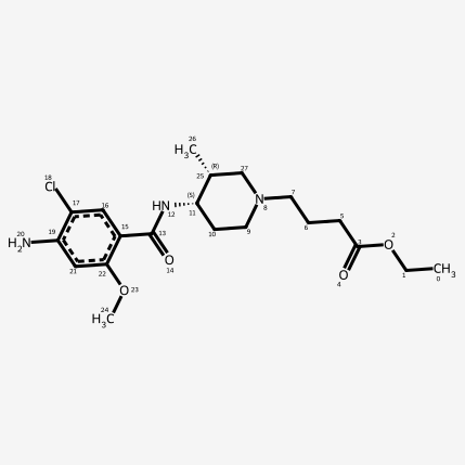 CCOC(=O)CCCN1CC[C@H](NC(=O)c2cc(Cl)c(N)cc2OC)[C@H](C)C1